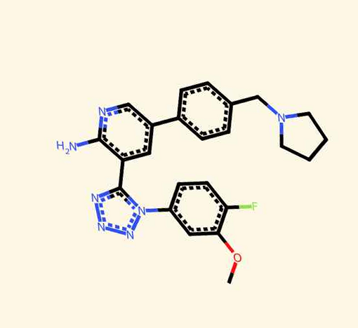 COc1cc(-n2nnnc2-c2cc(-c3ccc(CN4CCCC4)cc3)cnc2N)ccc1F